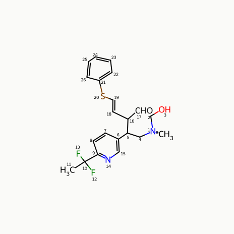 CN(CO)CC(c1ccc(C(C)(F)F)nc1)C(C=O)C=CSc1ccccc1